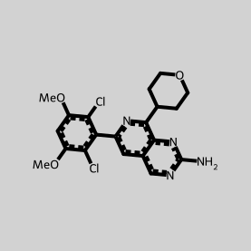 COc1cc(OC)c(Cl)c(-c2cc3cnc(N)nc3c(C3CCOCC3)n2)c1Cl